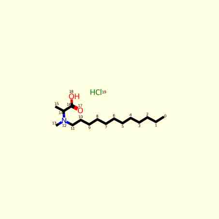 CCCCCCCCCCCCN(C)C(C)C(=O)O.Cl